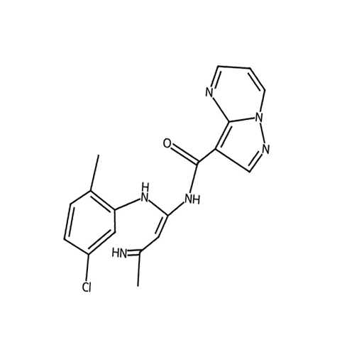 CC(=N)/C=C(/NC(=O)c1cnn2cccnc12)Nc1cc(Cl)ccc1C